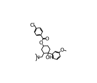 COc1cccc(C2(O)CCC(OC(=O)c3ccc(Cl)cc3)CC2CN(C)C)c1